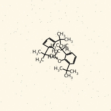 CC(C)(C)c1cccc(C(C)(C)C)c1[O][AlH][O]c1c(C(C)(C)C)cccc1C(C)(C)C